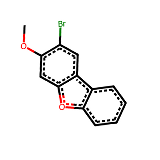 COc1cc2oc3ccccc3c2cc1Br